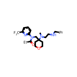 CCC(=O)N(CC1(N(C)CCNCC(C)C)CCOCC1)c1cccc(C(F)(F)F)n1